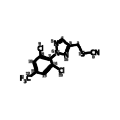 N#CSCc1cnn(-c2c(Cl)cc(C(F)(F)F)cc2Cl)n1